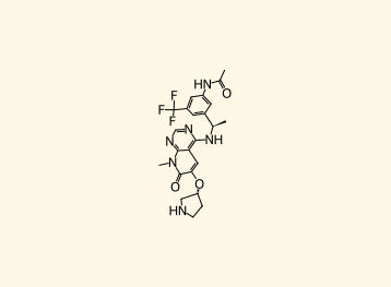 CC(=O)Nc1cc([C@@H](C)Nc2ncnc3c2cc(O[C@H]2CCNC2)c(=O)n3C)cc(C(F)(F)F)c1